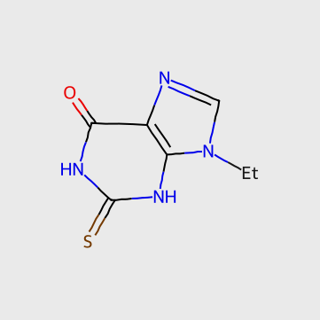 CCn1cnc2c(=O)[nH]c(=S)[nH]c21